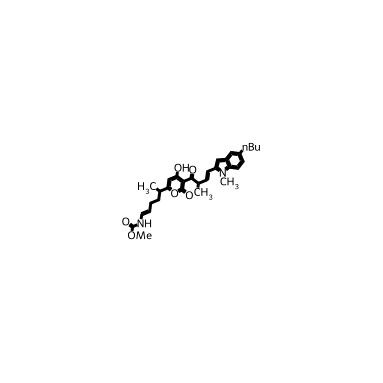 CCCCc1ccc2c(c1)cc(/C=C/C(C)C(=O)c1c(O)cc(C(C)CC/C=C/NC(=O)OC)oc1=O)n2C